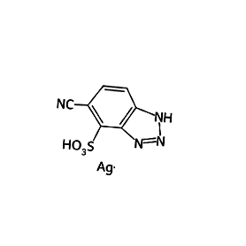 N#Cc1ccc2[nH]nnc2c1S(=O)(=O)O.[Ag]